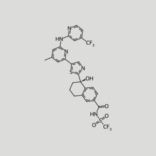 Cc1cc(Nc2cc(C(F)(F)F)ccn2)nc(-c2cnc([C@@]3(O)CCCc4cc(C(=O)NS(=O)(=O)C(F)(F)F)ccc43)s2)c1